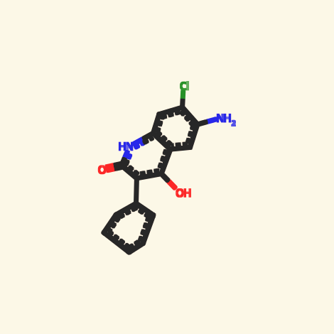 Nc1cc2c(O)c(-c3ccccc3)c(=O)[nH]c2cc1Cl